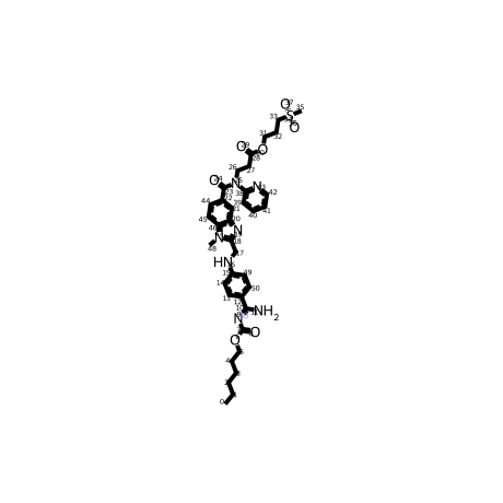 CCCCCCOC(=O)/N=C(\N)c1ccc(NCc2nc3cc(C(=O)N(CCC(=O)OCCCS(C)(=O)=O)c4ccccn4)ccc3n2C)cc1